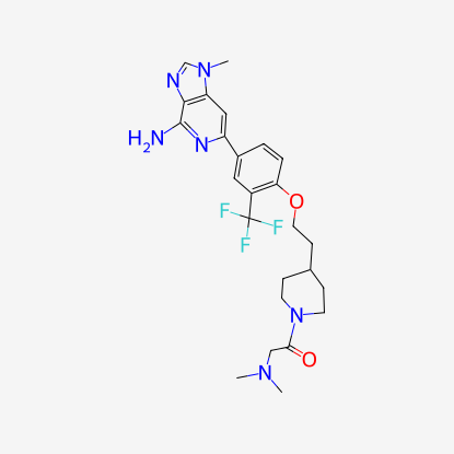 CN(C)CC(=O)N1CCC(CCOc2ccc(-c3cc4c(ncn4C)c(N)n3)cc2C(F)(F)F)CC1